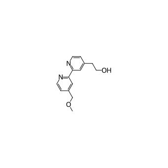 COCc1ccnc(-c2cc(CCO)ccn2)c1